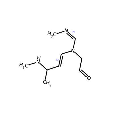 C/N=C\N(/C=C/C(C)NC)CC=O